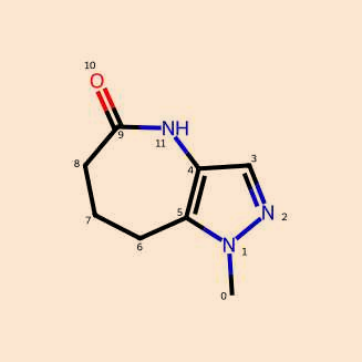 Cn1ncc2c1CCCC(=O)N2